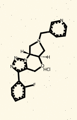 Cl.Fc1ccccc1-c1nnn2c1CO[C@@H]1CN(Cc3cccnc3)C[C@H]12